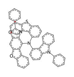 c1ccc(-c2nc3c(N(c4cccc5sc6ccccc6c45)c4cccc5c4c4ccccc4n5-c4ccccc4)c4c(cc3o2)oc2ccccc24)cc1